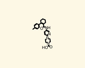 Cc1ccc(C2=C(C(=O)Nc3ccc(N4CCN(C(=O)O)CC4)nc3)CCCC2)cc1